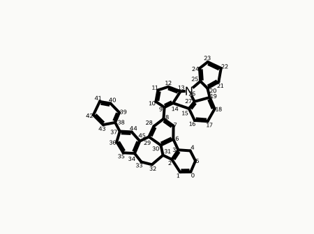 C1=CC2=C(CC1)c1cc(-c3cccc4c3c3cccc5c6ccccc6n4c53)cc3c1C2CCc1ccc(-c2ccccc2)cc1-3